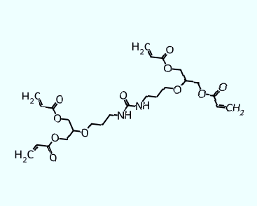 C=CC(=O)OCC(COC(=O)C=C)OCCCNC(=O)NCCCOC(COC(=O)C=C)COC(=O)C=C